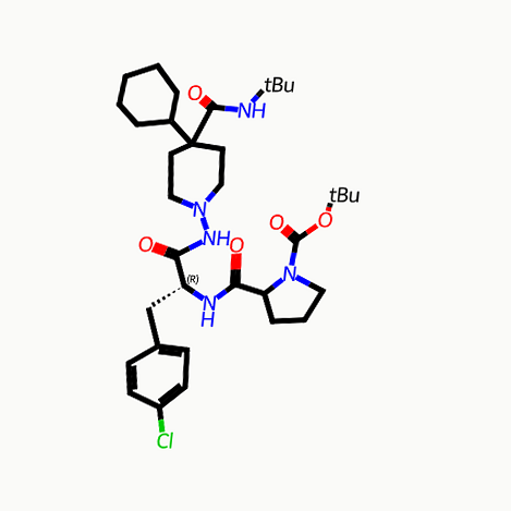 CC(C)(C)NC(=O)C1(C2CCCCC2)CCN(NC(=O)[C@@H](Cc2ccc(Cl)cc2)NC(=O)C2CCCN2C(=O)OC(C)(C)C)CC1